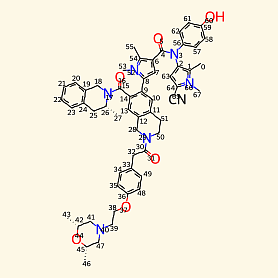 Cc1c(N(C(=O)c2cc(-c3cc4c(cc3C(=O)N3Cc5ccccc5C[C@H]3C)CN(C(=O)Cc3ccc(OCCN5C[C@@H](C)O[C@@H](C)C5)cc3)CC4)n(C)c2C)c2ccc(O)cc2)cc(C#N)n1C